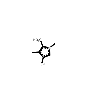 Cc1c(C#N)cn(C)c1C(=O)O